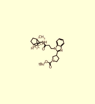 CC(C)(C)OC(=O)N1CCC(c2nc3ccccc3n2CCC(=O)NC2C[C@H]3CC[C@]2(C)C3(C)C)C1